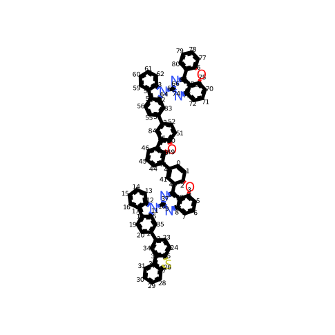 C1=CC2Oc3cccc4nc(-n5c6ccccc6c6ccc(-c7ccc8sc9ccccc9c8c7)cc65)nc(c34)C2C=C1c1cccc2c1oc1ccc(-c3ccc4c5ccccc5n(-c5nc6c7c(cccc7n5)Oc5ccccc5-6)c4c3)cc12